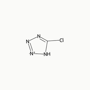 ClC1=NN=[N+]N1